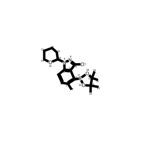 Cc1ccc2c(c(Cl)nn2C2CCCCO2)c1B1OC(C)(C)C(C)(C)O1